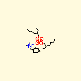 CCCCC(CC)COP(=O)([O-])OCC(CC)CCCC.C[N+](C)(C)Cc1ccccc1